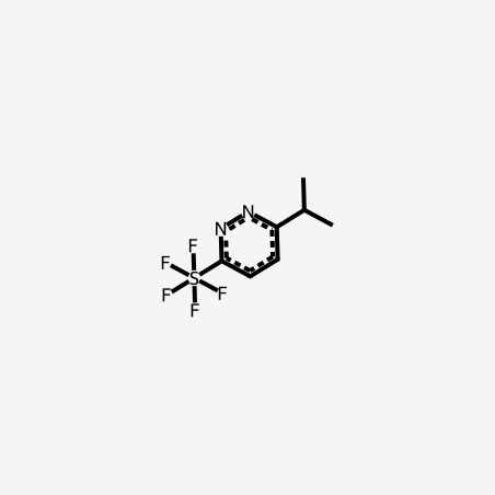 CC(C)c1ccc(S(F)(F)(F)(F)F)nn1